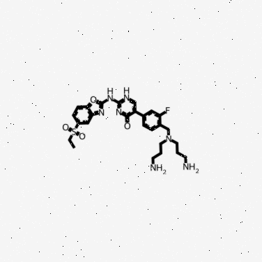 CCS(=O)(=O)c1ccc2oc(Nc3nc(=O)c(-c4ccc(CN(CCCN)CCCN)c(F)c4)c[nH]3)nc2c1